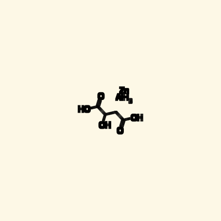 O=C(O)CC(O)C(=O)O.[AlH3].[Zn]